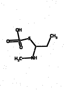 CCC(NC)SS(=O)(=O)O